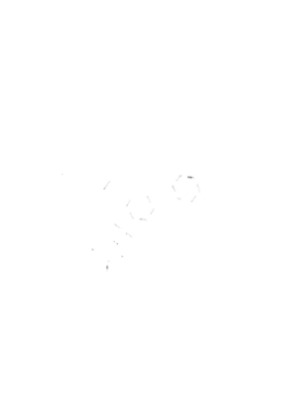 CCOC(=O)C(C)c1cc(Oc2ccc(F)cc2)ccc1S(=O)(=O)NC1(C(=O)O)CCCC1